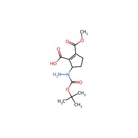 COC(=O)C1=C(C(=O)O)C(N(N)C(=O)OC(C)(C)C)CC1